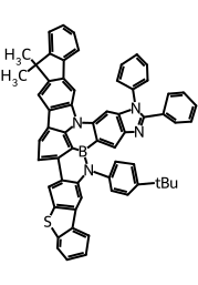 CC(C)(C)c1ccc(N2B3c4cc5nc(-c6ccccc6)n(-c6ccccc6)c5cc4-n4c5cc6c(cc5c5ccc(c3c54)-c3cc4sc5ccccc5c4cc32)C(C)(C)c2ccccc2-6)cc1